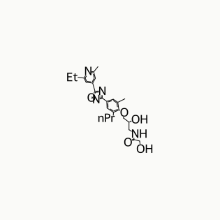 CCCc1cc(-c2noc(-c3cc(C)nc(CC)c3)n2)cc(C)c1OC[C@@H](O)CNC(=O)CO